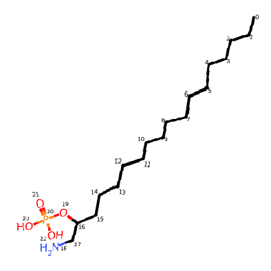 CCCCCCCCCCCCCCCCC(CN)OP(=O)(O)O